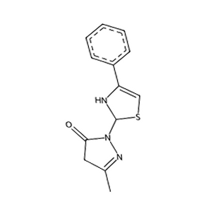 CC1=NN(C2NC(c3ccccc3)=CS2)C(=O)C1